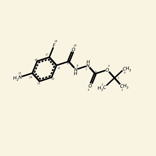 CC(C)(C)OC(=O)NNC(=O)c1ccc(N)cc1F